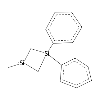 C[Si]1C[Si](c2ccccc2)(c2ccccc2)C1